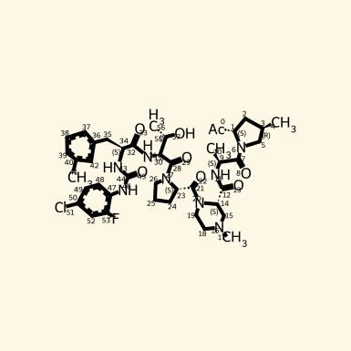 CC(=O)[C@@H]1C[C@@H](C)CN1C(=O)[C@H](C)NC(=O)[C@@H]1CN(C)CCN1C(=O)[C@@H]1CCCN1C(=O)[C@@H](NC(=O)[C@H](Cc1cccc(C)c1)NC(=O)Nc1ccc(Cl)cc1F)[C@H](C)O